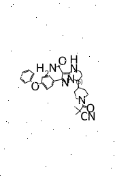 CC(C)(C#N)C(=O)N1CCC([C@@H]2CCNc3c(C(N)=O)c(-c4ccc(Oc5ccccc5)cc4)nn32)CC1